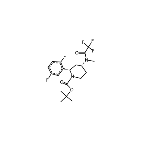 CN(C(=O)C(F)(F)F)[C@@H]1CCN(C(=O)OC(C)(C)C)[C@H](c2cc(F)ccc2F)C1